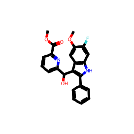 COC(=O)c1cccc(C(O)c2c(-c3ccccc3)[nH]c3cc(F)c(OC)cc23)n1